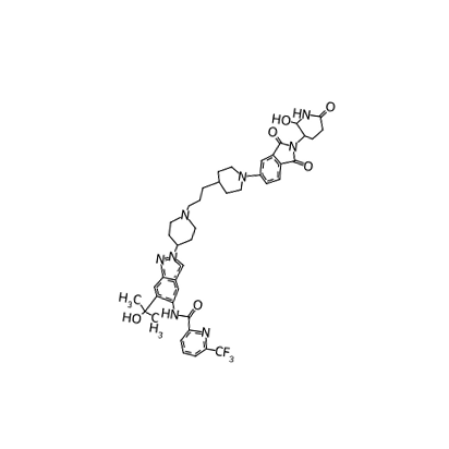 CC(C)(O)c1cc2nn(C3CCN(CCCC4CCN(c5ccc6c(c5)C(=O)N(C5CCC(=O)NC5O)C6=O)CC4)CC3)cc2cc1NC(=O)c1cccc(C(F)(F)F)n1